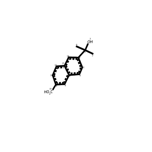 CC(C)(O)c1ccc2cc(C(=O)O)ccc2c1